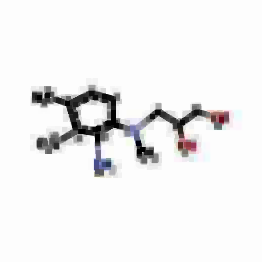 Cc1ccc(N(C)CC(O)CO)c(N)c1[N+](=O)[O-]